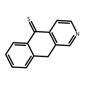 S=C1c2ccccc2Cc2cnccc21